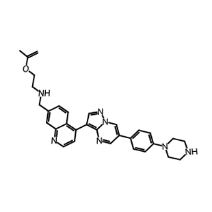 C=C(C)OCCNCc1ccc2c(-c3cnn4cc(-c5ccc(N6CCNCC6)cc5)cnc34)ccnc2c1